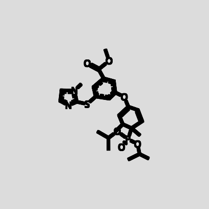 COC(=O)c1cc(OC2=CC(C)C(C)(P(=O)(OC(C)C)OC(C)C)C=C2)cc(Sc2nccn2C)c1